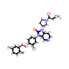 C=CC(=O)N1CC[C@@H](n2c(=O)n(-c3ccc(OCc4cc(F)ccc4F)c(Cl)c3)c3cnccc32)C1